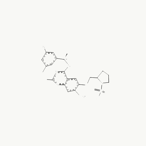 COc1cc2nc(C)nc(N[C@H](C)c3cc(N)cc(C(F)(F)F)c3)c2cc1OCC1CCCN1S(C)(=O)=O